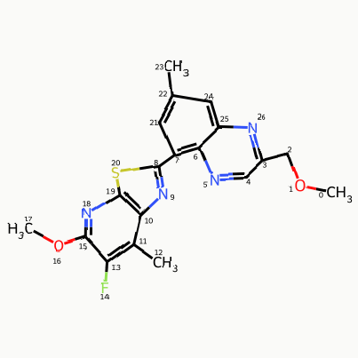 COCc1cnc2c(-c3nc4c(C)c(F)c(OC)nc4s3)cc(C)cc2n1